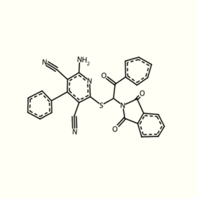 N#Cc1c(N)nc(SC(C(=O)c2ccccc2)N2C(=O)c3ccccc3C2=O)c(C#N)c1-c1ccccc1